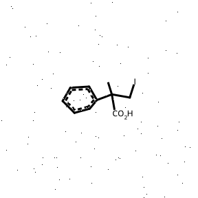 CC(CI)(C(=O)O)c1ccccc1